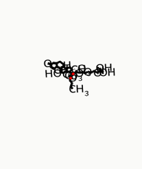 CCCCC(=O)O[C@]1(C(=O)COC(=O)COCCON(O)O)[C@@H](C)C[C@H]2C3CCC4=CC(=O)C=C[C@]4(C)[C@@]3(F)[C@@H](O)C[C@@]21C